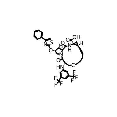 O=C1N[C@]2(C(=O)O)C[C@H]2/C=C\CCCCC[C@H](Nc2cc(C(F)(F)F)cc(C(F)(F)F)c2)C(=O)N2C[C@H](Oc3nc(-c4ccccc4)cs3)C[C@@H]12